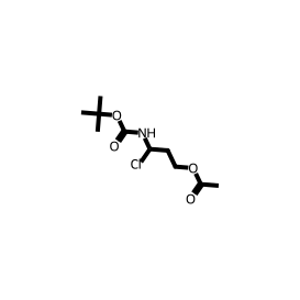 CC(=O)OCCC(Cl)NC(=O)OC(C)(C)C